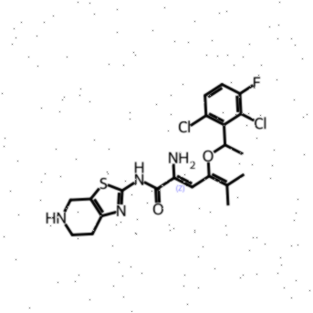 CC(C)=C(/C=C(\N)C(=O)Nc1nc2c(s1)CNCC2)OC(C)c1c(Cl)ccc(F)c1Cl